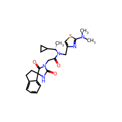 C[C@@H](C1CC1)N(Cc1csc(N(C)C)n1)C(=O)CN1C(=O)NC2(CCc3ccccc32)C1=O